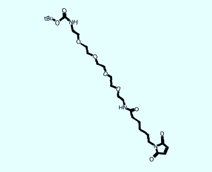 CC(C)(C)OC(=O)NCCOCCOCCOCCOCCNC(=O)CCCCCN1C(=O)C=CC1=O